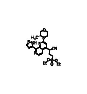 CCOP(=O)(CCC(C#N)c1cc(N2CCOC[C@H]2C)nc2c(-c3ccn[nH]3)nccc12)OCC